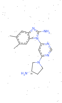 Cc1cc2nc(N)n(-c3cc(N4CC[C@H](N)C4)ncn3)c2cc1C